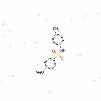 [CH2]c1ccc(NS(=O)(=O)c2ccc(OC)cc2)cc1